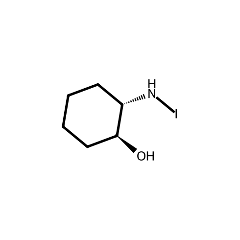 O[C@H]1CCCC[C@@H]1NI